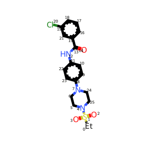 CCS(=O)(=O)N1CCN(c2ccc(NC(=O)c3cccc(Cl)c3)cc2)CC1